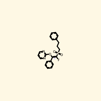 O=S(=O)(CCCc1ccccc1)/C(F)=C(\Oc1ncccn1)c1ccccc1